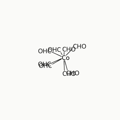 O=[CH][Co]([CH]=O)([CH]=O)([CH]=O)([CH]=O)([CH]=O)([CH]=O)[CH]=O